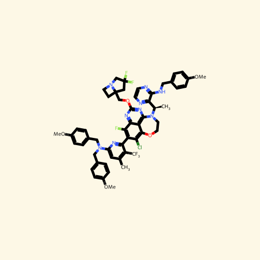 COc1ccc(CNc2nccnc2[C@@H](C)N2CCOc3c(Cl)c(-c4nc(N(Cc5ccc(OC)cc5)Cc5ccc(OC)cc5)cc(C)c4C(F)(F)F)c(F)c4nc(OCC56CCN5CC(F)(F)C6)nc2c34)cc1